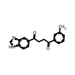 Cc1cccc(C(=O)CCC(=O)c2ccc3[nH]cnc3c2)c1